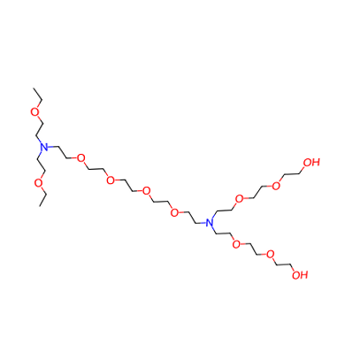 CCOCCN(CCOCC)CCOCCOCCOCCOCCN(CCOCCOCCO)CCOCCOCCO